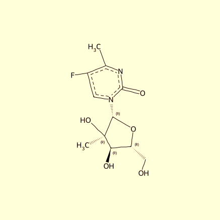 Cc1nc(=O)n([C@@H]2O[C@H](CO)[C@@H](O)[C@@]2(C)O)cc1F